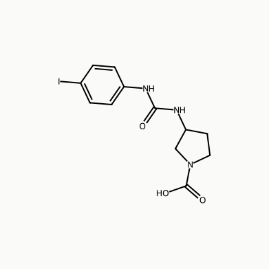 O=C(Nc1ccc(I)cc1)NC1CCN(C(=O)O)C1